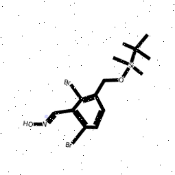 CC(C)(C)[Si](C)(C)OCc1ccc(Br)c(/C=N/O)c1Br